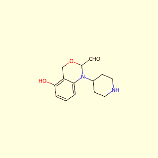 O=CC1OCc2c(O)cccc2N1C1CCNCC1